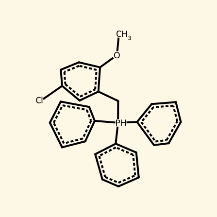 COc1ccc(Cl)cc1C[PH](c1ccccc1)(c1ccccc1)c1ccccc1